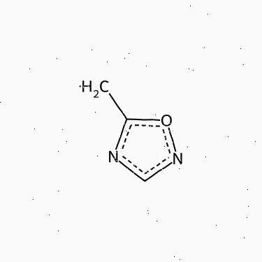 [CH2]c1ncno1